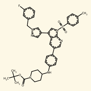 Cc1ccc(S(=O)(=O)n2cc(-c3cnn(Cc4cccc(F)c4)c3)c3cc(-c4ccc(NC5CCN(C(=O)OC(C)(C)C)CC5)cc4)cnc32)cc1